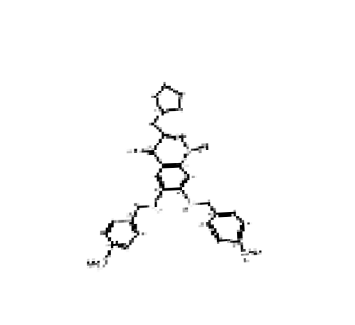 CCn1nc(CN2CCCC2)c(=O)c2cc(OCc3ccc(OC)cc3)c(OCc3ccc(OC)cc3)cc21